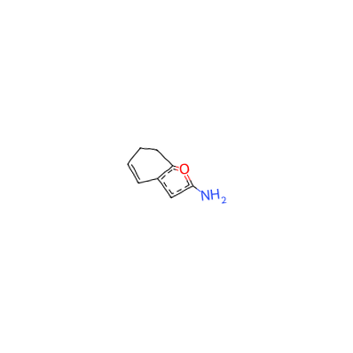 Nc1cc2c(o1)CCC=C2